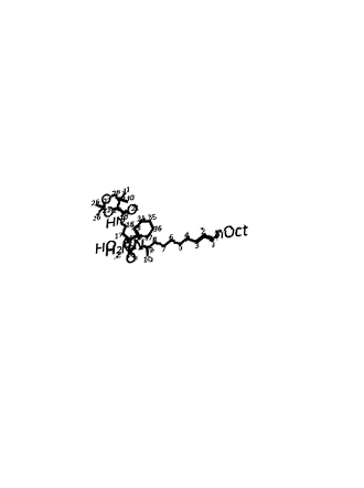 CCCCCCCC/C=C/CCCCCCC(C)N(C(N)=O)C1(C(CCNC(=O)C2OC(C)(C)OCC2(C)C)C(=O)O)CCCCC1